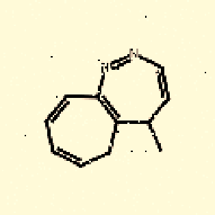 CC1C=CN=NC2=C1CC=CC=C2